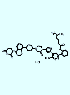 CN(C)CCCC(=O)Oc1ccccc1-c1cc(-n2cc(N3CCN(C4CCC(c5cccc6c5OCCN6[C@H]5CCC(=O)NC5=O)CC4)CC3=O)cn2)c(N)nn1.Cl